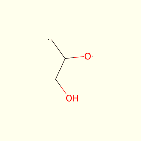 [CH2]C([O])CO